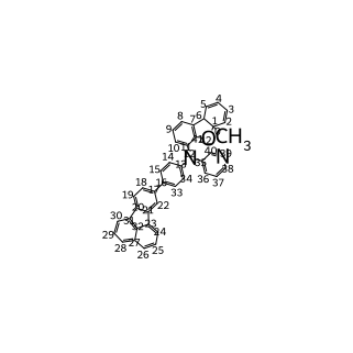 CC12C=CC=CC1c1cccc(N(c3ccc(-c4ccc5c(c4)-c4cccc6cccc-5c46)cc3)c3cccnc3)c1O2